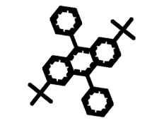 CC(C)(C)c1ccc2c(-c3ccccc3)c3cc(C(C)(C)C)ccc3c(-c3ccccc3)c2c1